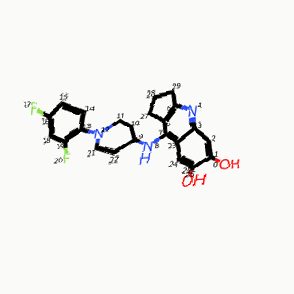 Oc1cc2nc3c(c(NC4CCN(c5ccc(F)cc5F)CC4)c2cc1O)CCC3